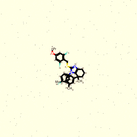 CCCOc1cc(F)c(CSc2nc3c(n2-c2ccc(F)cc2)C(C)(c2ccc(OC)c(C)c2)CCC3)c(F)c1